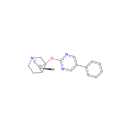 c1ccc(-c2cnc(O[C@H]3CN4CCC3CC4)nc2)cc1